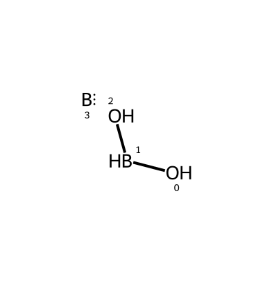 OBO.[B]